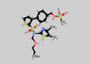 COCCOCN(c1nc(C)c(C)s1)S(=O)(=O)c1sccc1-c1ccc(COS(C)(=O)=O)cc1